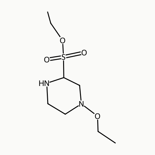 CCON1CCNC(S(=O)(=O)OCC)C1